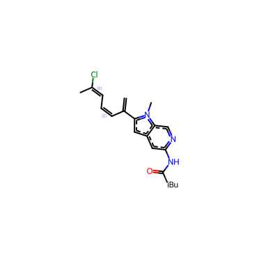 C=C(/C=C\C=C(/C)Cl)c1cc2cc(NC(=O)C(C)CC)ncc2n1C